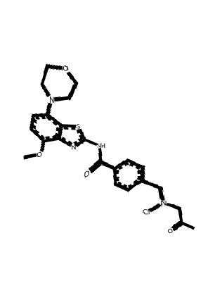 COc1ccc(N2CCOCC2)c2sc(NC(=O)c3ccc(CN(Cl)CC(C)=O)cc3)nc12